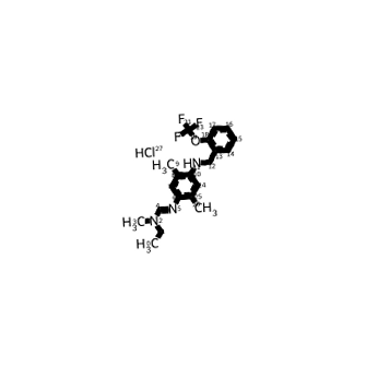 CCN(C)C=Nc1cc(C)c(NCc2ccccc2OC(F)(F)F)cc1C.Cl